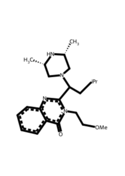 COCCn1c(C(CC(C)C)N2C[C@@H](C)N[C@@H](C)C2)nc2ccccc2c1=O